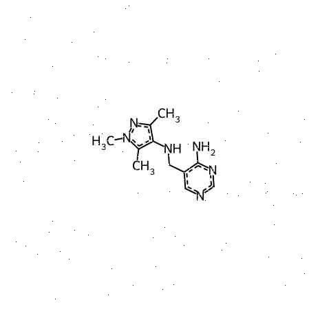 Cc1nn(C)c(C)c1NCc1cncnc1N